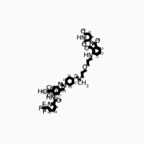 CN(CCCOCCCNc1cccc2c1C(=O)N(C1CCC(=O)NC1=O)C2=O)C[C@H]1CC[C@H](n2cc3cc(NC(=O)c4cccc(C(F)(F)F)n4)c(C(C)(C)O)cc3n2)CC1